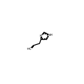 [CH]=CCc1c[nH]cn1